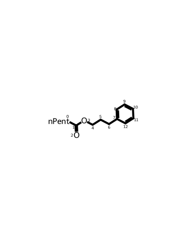 CCCCCC(=O)OCCCc1ccccc1